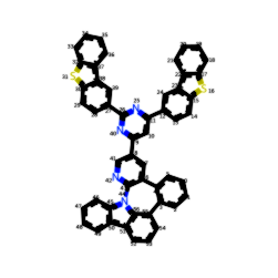 c1ccc2c(c1)-c1cc(-c3cc(-c4ccc5sc6ccccc6c5c4)nc(-c4ccc5sc6ccccc6c5c4)n3)cnc1-n1c3ccccc3c3cccc-2c31